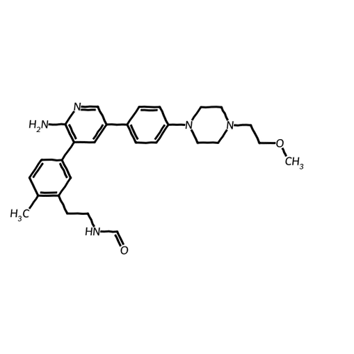 COCCN1CCN(c2ccc(-c3cnc(N)c(-c4ccc(C)c(CCNC=O)c4)c3)cc2)CC1